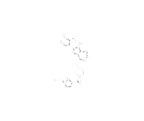 CCn1ncc(-c2nc3c(S[C@H]4CCN(C(=O)c5ccn(C)n5)C4)ncnc3n2C)c1C